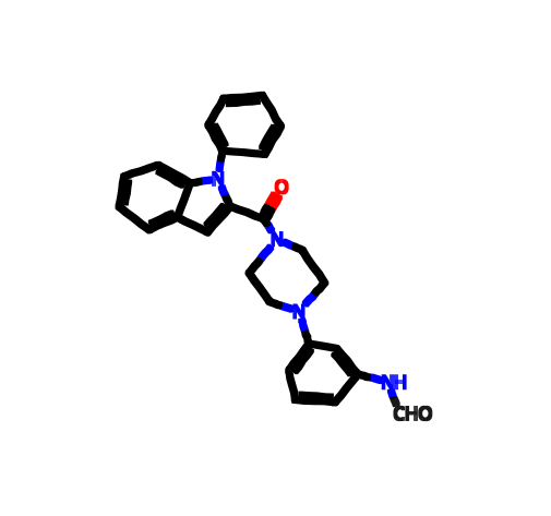 O=CNc1cccc(N2CCN(C(=O)c3cc4ccccc4n3-c3ccccc3)CC2)c1